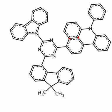 CC1(C)c2ccccc2-c2c(-c3nc(-c4ccc(-c5ccccc5N(c5ccccc5)c5ccccc5)cc4)nc(-n4c5ccccc5c5ccccc54)n3)cccc21